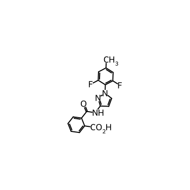 Cc1cc(F)c(-n2ccc(NC(=O)c3ccccc3C(=O)O)n2)c(F)c1